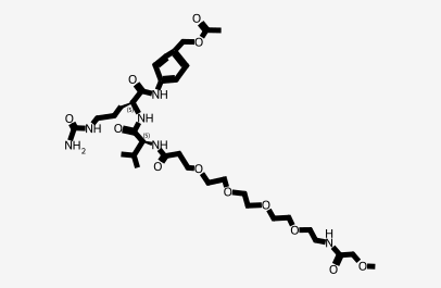 COCC(=O)NCCOCCOCCOCCOCCC(=O)N[C@H](C(=O)N[C@@H](CCCNC(N)=O)C(=O)Nc1ccc(COC(C)=O)cc1)C(C)C